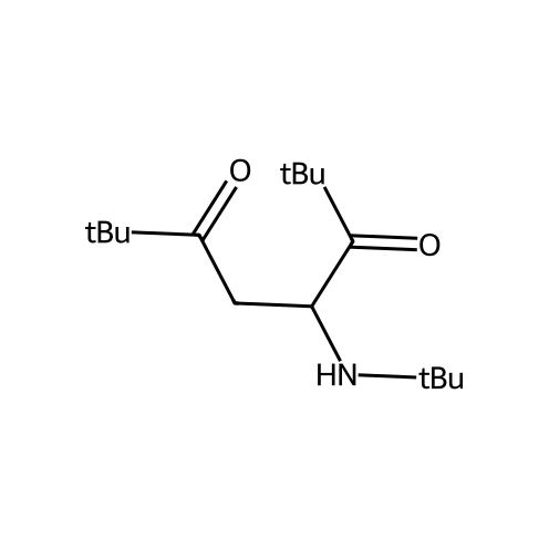 CC(C)(C)NC(CC(=O)C(C)(C)C)C(=O)C(C)(C)C